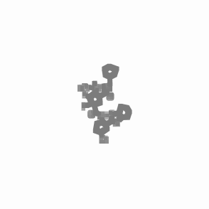 CCCC[N+](C)(CCC)c1c(C(=O)OCc2ccccc2)cc(C(=O)Nc2ccc(CC)cc2-c2nc3ccccc3s2)c(F)c1F